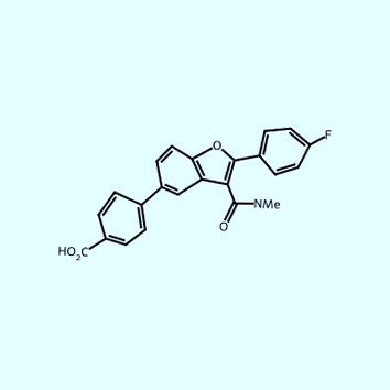 CNC(=O)c1c(-c2ccc(F)cc2)oc2ccc(-c3ccc(C(=O)O)cc3)cc12